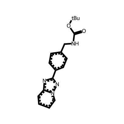 CC(C)(C)OC(=O)NCc1ccc(-c2nc3ccccn3n2)cc1